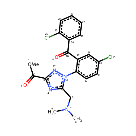 COC(=O)c1nc(CN(C)C)n(-c2ccc(Cl)cc2C(=O)c2ccccc2Cl)n1